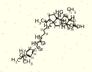 CC[C@H]1[C@@H](O)[C@@H]2[C@H](CC[C@]3(C)[C@@H]([C@H](C)CCCNC(=O)N[S+]([O-])c4ccc(C(C)(C)C)cc4)CC[C@@H]23)[C@@]2(C)CC[C@@H](O)C[C@@H]12